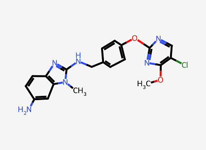 COc1nc(Oc2ccc(CNc3nc4ccc(N)cc4n3C)cc2)ncc1Cl